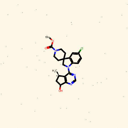 C[C@@H]1CC(O)c2ncnc(N3CC4(CCN(C(=O)OC(C)(C)C)CC4)c4cc(Cl)ccc43)c21